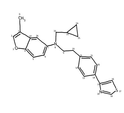 Cc1[c]oc2ccc(N(CCc3ccc(-c4cscn4)cc3)CC3CC3)cc12